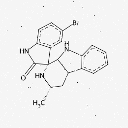 C[C@H]1CC2c3ccccc3NC2[C@@]2(N1)C(=O)Nc1ccc(Br)cc12